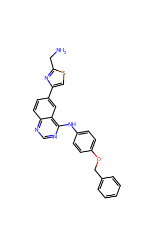 NCc1nc(-c2ccc3ncnc(Nc4ccc(OCc5ccccc5)cc4)c3c2)cs1